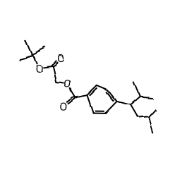 CC(C)CC(c1ccc(C(=O)OCC(=O)OC(C)(C)C)cc1)C(C)C